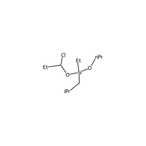 CCCO[Si](CC)(CC(C)C)OC(Cl)CC